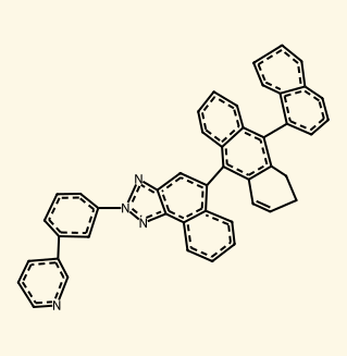 C1=Cc2c(c(-c3cccc4ccccc34)c3ccccc3c2-c2cc3nn(-c4cccc(-c5cccnc5)c4)nc3c3ccccc23)CC1